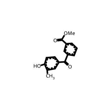 COC(=O)c1cccc(C(=O)c2ccc(O)c(C)c2)c1